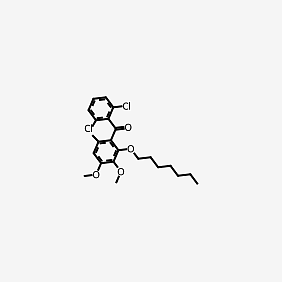 CCCCCCCOc1c(OC)c(OC)cc(C)c1C(=O)c1c(Cl)cccc1Cl